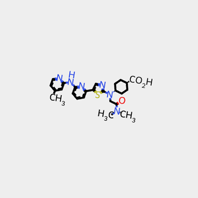 Cc1ccnc(Nc2cccc(-c3cnc(N(CC(=O)N(C)C)[C@H]4CC[C@H](C(=O)O)CC4)s3)n2)c1